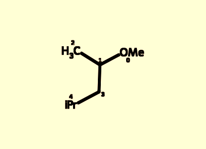 [CH2]OC(C)CC(C)C